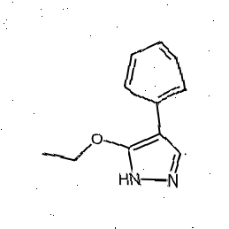 CCOc1[nH]n[c]c1-c1ccccc1